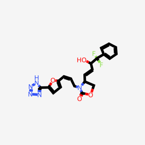 O=C1OCC(C=CC(O)C(F)(F)c2ccccc2)N1C/C=C\c1ccc(-c2nnn[nH]2)o1